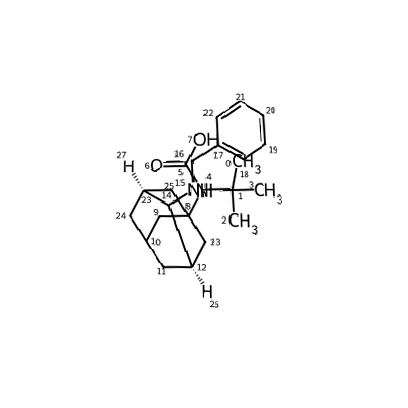 CC(C)(C)N(C(=O)O)C12CC3C[C@H](C1)C(NCc1ccccc1)[C@@H](C3)C2